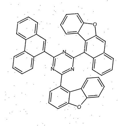 c1ccc2c(-c3nc(-c4cc5ccccc5c5ccccc45)nc(-c4cccc5oc6ccccc6c45)n3)c3c(cc2c1)oc1ccccc13